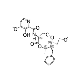 COCC[C@H]1OCC[C@H](NC(=O)c2nccc(OC)c2O)C(=O)O[C@@H](C)[C@@H]1Cc1ccccc1